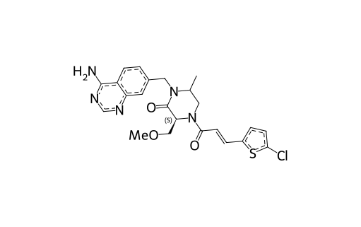 COC[C@H]1C(=O)N(Cc2ccc3c(N)ncnc3c2)C(C)CN1C(=O)C=Cc1ccc(Cl)s1